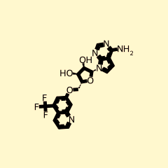 Nc1ncnc2c1ccn2[C@@H]1O[C@H](COc2cc(C(F)(F)F)c3cccnc3c2)[C@@H](O)[C@H]1O